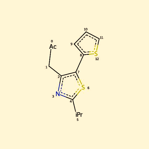 CC(=O)Cc1nc(C(C)C)sc1-c1cccs1